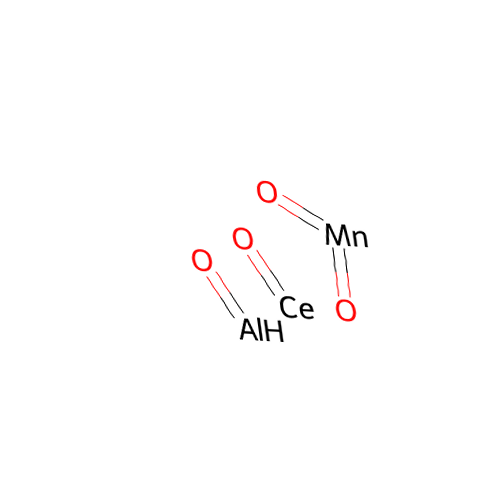 [O]=[AlH].[O]=[Ce].[O]=[Mn]=[O]